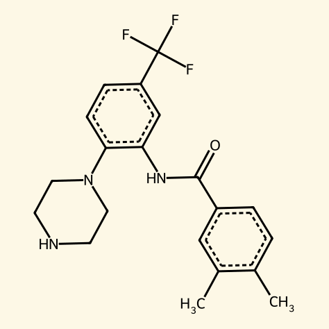 Cc1ccc(C(=O)Nc2cc(C(F)(F)F)ccc2N2CCNCC2)cc1C